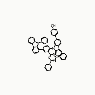 N#Cc1ccc(-c2ccc3c4ccccc4n(-c4ccc(-c5cccc6c7ccccc7n(-c7ccccc7)c56)cc4-c4nc(-c5ccccc5)nc(-c5ccccc5)n4)c3c2)cc1